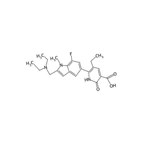 CCc1cc(C(=O)O)c(=O)[nH]c1-c1cc(F)c2c(c1)cc(CN(CC)CC)n2C